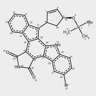 CC(C)(C)[Si](C)(C)O[C@@H]1C=CC(n2c3ccccc3c3c4c(c5c6cc(Br)ccc6[nH]c5c32)C(=O)NC4=O)C1